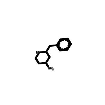 NC1CCNC(Cc2ccccc2)C1